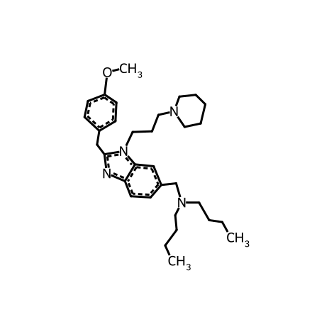 CCCCN(CCCC)Cc1ccc2nc(Cc3ccc(OC)cc3)n(CCCN3CCCCC3)c2c1